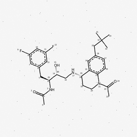 CC(=O)N[C@@H](Cc1cc(F)cc(F)c1)[C@H](O)CN[C@H]1CCN(C(C)=O)c2ccc(CC(C)(C)C)cc21